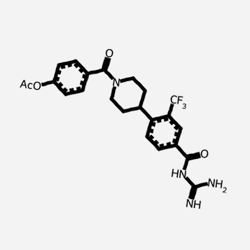 CC(=O)Oc1ccc(C(=O)N2CCC(c3ccc(C(=O)NC(=N)N)cc3C(F)(F)F)CC2)cc1